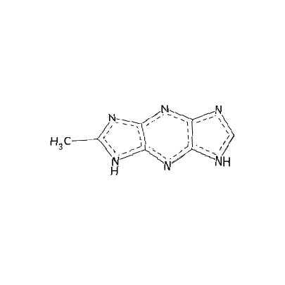 Cc1nc2nc3nc[nH]c3nc2[nH]1